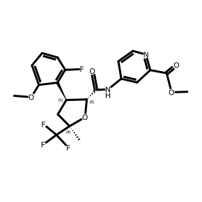 COC(=O)c1cc(NC(=O)[C@@H]2O[C@@](C)(C(F)(F)F)C[C@H]2c2c(F)cccc2OC)ccn1